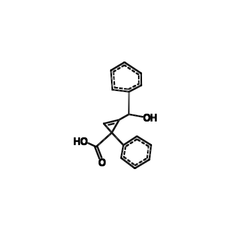 O=C(O)C1(c2ccccc2)C=C1C(O)c1ccccc1